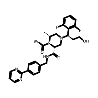 CC(C)C(=O)N1[C@H](C)CN([C@H](CCO)c2c(F)cccc2F)C[C@@H]1C(=O)NCc1ccc(-c2ncccn2)cc1